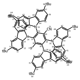 CC(C)(C)c1ccc2c(c1)c1cc(C(C)(C)C)ccc1n2-c1c(F)c(-n2c3ccc(C(C)(C)C)cc3c3cc(C(C)(C)C)ccc32)c(-n2c3ccc(C(C)(C)C)cc3c3cc(C(C)(C)C)ccc32)c(C#N)c1-n1c2ccc(C(C)(C)C)cc2c2cc(C(C)(C)C)ccc21